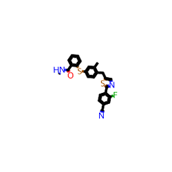 CNC(=O)c1ccccc1Sc1ccc(Cc2cnc(-c3ccc(C#N)cc3F)s2)c(C)c1